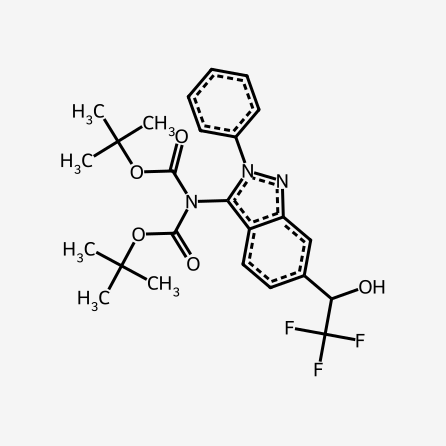 CC(C)(C)OC(=O)N(C(=O)OC(C)(C)C)c1c2ccc(C(O)C(F)(F)F)cc2nn1-c1ccccc1